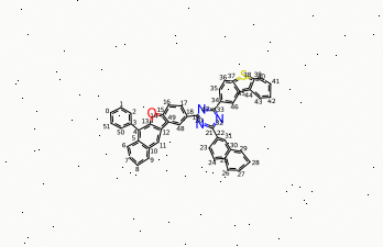 c1ccc(-c2c3ccccc3cc3c2oc2ccc(-c4nc(-c5ccc6ccccc6c5)nc(-c5ccc6sc7ccccc7c6c5)n4)cc23)cc1